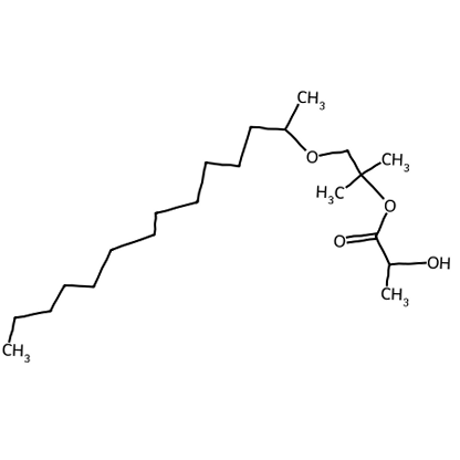 CCCCCCCCCCCCC(C)OCC(C)(C)OC(=O)C(C)O